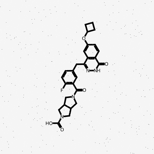 O=C(O)N1CC2CN(C(=O)c3cc(Cc4n[nH]c(=O)c5ccc(OC6CCC6)cc45)ccc3F)CC2C1